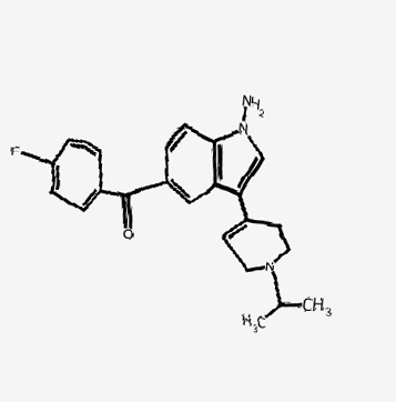 CC(C)N1CC=C(c2cn(N)c3ccc(C(=O)c4ccc(F)cc4)cc23)CC1